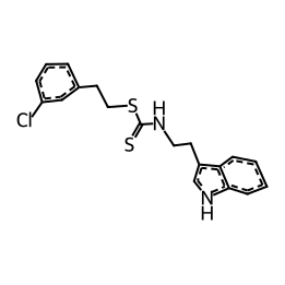 S=C(NCCc1c[nH]c2ccccc12)SCCc1cccc(Cl)c1